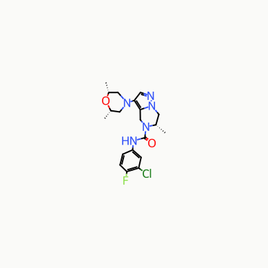 C[C@@H]1CN(c2cnn3c2CN(C(=O)Nc2ccc(F)c(Cl)c2)[C@@H](C)C3)C[C@H](C)O1